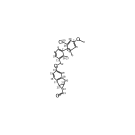 COc1cc(C)c(-c2cccc(COc3ccc4c(c3)CC3C(C=O)C43)c2C)c(Cl)c1